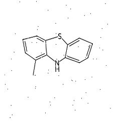 [CH2]c1cccc2c1Nc1ccccc1S2